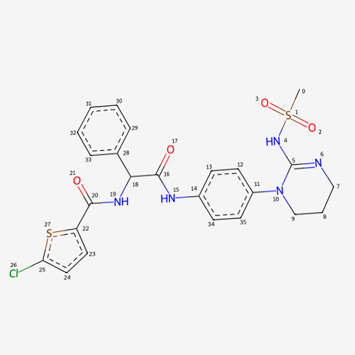 CS(=O)(=O)NC1=NCCCN1c1ccc(NC(=O)C(NC(=O)c2ccc(Cl)s2)c2ccccc2)cc1